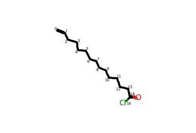 C=CCCCCCCCCCCCCC(=O)Cl